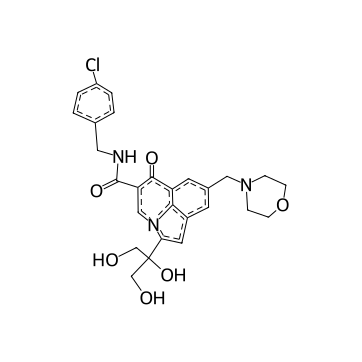 O=C(NCc1ccc(Cl)cc1)c1cn2c(C(O)(CO)CO)cc3cc(CN4CCOCC4)cc(c1=O)c32